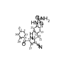 Cc1ccc(C(=O)c2[nH]c(C(C)c3ccc(NS(N)(=O)=O)cc3)c(C#N)c2C)c(C)c1